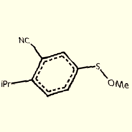 COSc1ccc(C(C)C)c(C#N)c1